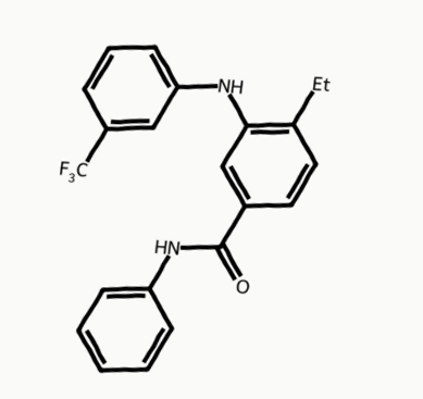 CCc1ccc(C(=O)Nc2ccccc2)cc1Nc1cccc(C(F)(F)F)c1